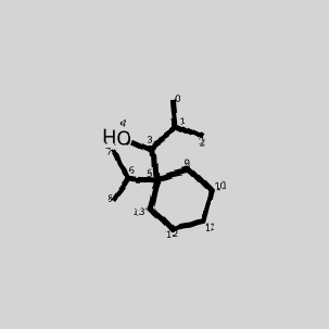 CC(C)C(O)C1(C(C)C)CCCCC1